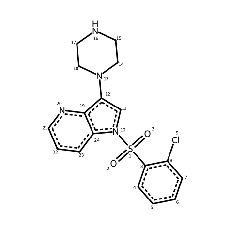 O=S(=O)(c1ccccc1Cl)n1cc(N2CCNCC2)c2ncccc21